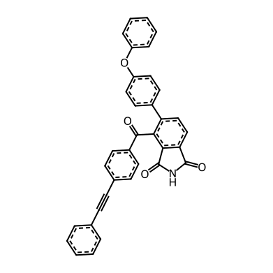 O=C1NC(=O)c2c1ccc(-c1ccc(Oc3ccccc3)cc1)c2C(=O)c1ccc(C#Cc2ccccc2)cc1